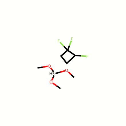 CO[SiH](OC)OC.FC1CCC1(F)F